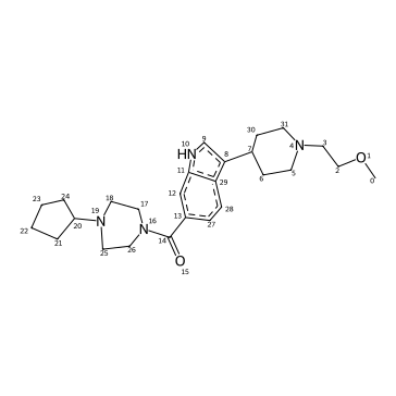 COCCN1CCC(c2c[nH]c3cc(C(=O)N4CCN(C5CCCC5)CC4)ccc23)CC1